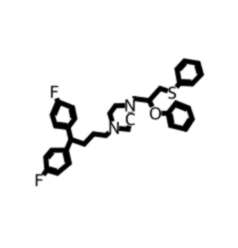 Fc1ccc(C(CCCN2CCN(CC(CSc3ccccc3)Oc3ccccc3)CC2)c2ccc(F)cc2)cc1